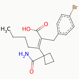 CCCC/C(=C(/Cc1ccc(Br)cc1)C(=O)O)C1(C(N)=O)CCC1